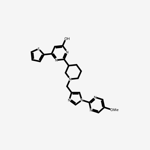 COc1cnc(-n2cnc(CN3CCCC(c4nc(O)cc(-c5cccs5)n4)C3)c2)nc1